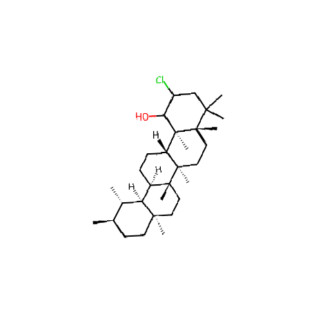 C[C@@H]1[C@H]2[C@H]3CC[C@H]4[C@@](C)(CC[C@@]5(C)C(C)(C)CC(Cl)C(O)[C@]45C)[C@]3(C)CC[C@@]2(C)CC[C@H]1C